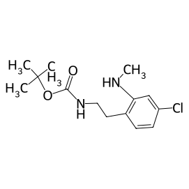 CNc1cc(Cl)ccc1CCNC(=O)OC(C)(C)C